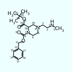 CNCCN1CCN(C(=O)OCc2ccccc2)C(C(=O)OC(C)(C)C)C1